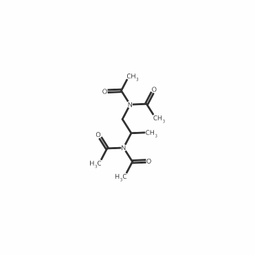 CC(=O)N(CC(C)N(C(C)=O)C(C)=O)C(C)=O